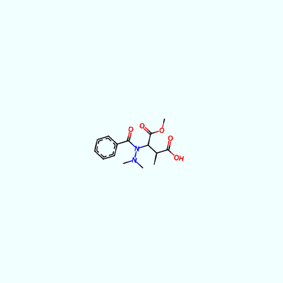 COC(=O)C(C(C)C(=O)O)N(C(=O)c1ccccc1)N(C)C